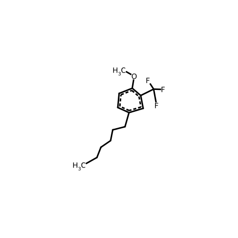 CCCCCCc1ccc(OC)c(C(F)(F)F)c1